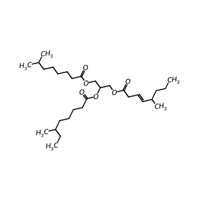 CCCC(C)/C=C/CC(=O)OCC(COC(=O)CCCCCC(C)C)OC(=O)CCCCC(C)CC